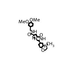 COc1ccc(CNC(=O)c2cc3c(=O)[nH]c(-c4ccc5c(c4)N(C)CCO5)cn3n2)cc1OC